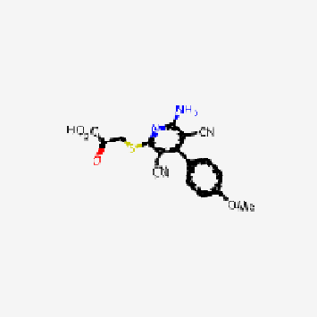 COc1ccc(-c2c(C#N)c(N)nc(SCC(=O)C(=O)O)c2C#N)cc1